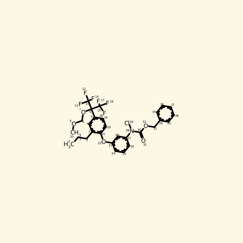 CCCc1cc(C(OCOC)(C(F)(F)F)C(F)(F)F)ccc1Oc1cccc(N(Cl)C(=O)OCc2ccccc2)c1